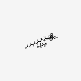 CCCCCCCCCCCCCOS(=O)(=O)O.CCOCC